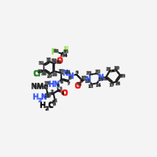 C=C/C(C(=O)Nc1cn(CC(=O)N2CCN(c3ccccc3)CC2)nc1-c1cc(Cl)ccc1OC(F)F)=C(\N)NC